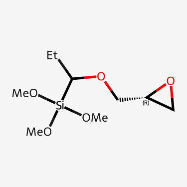 CCC(OC[C@H]1CO1)[Si](OC)(OC)OC